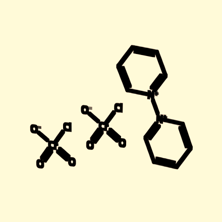 [O]=[Cr](=[O])([O-])[Cl].[O]=[Cr](=[O])([O-])[Cl].c1cc[n+](-[n+]2ccccc2)cc1